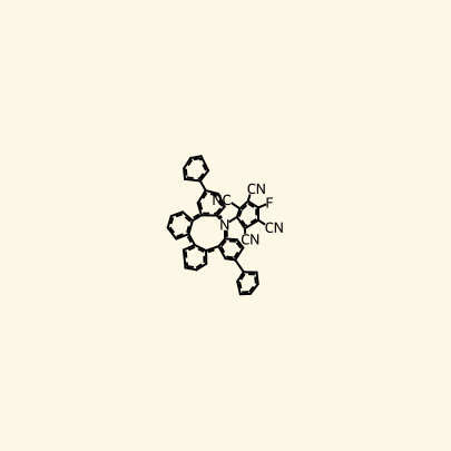 N#Cc1c(F)c(C#N)c(C#N)c(-n2c3ccc(-c4ccccc4)cc3c3ccccc3c3ccccc3c3cc(-c4ccccc4)ccc32)c1C#N